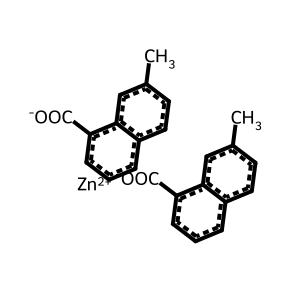 Cc1ccc2cccc(C(=O)[O-])c2c1.Cc1ccc2cccc(C(=O)[O-])c2c1.[Zn+2]